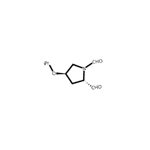 CC(C)O[C@@H]1C[C@@H](C=O)N(C=O)C1